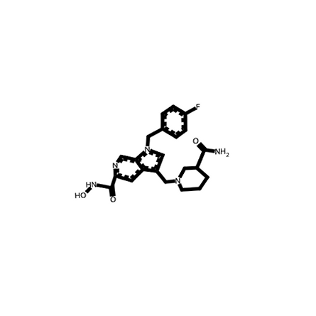 NC(=O)C1CCCN(Cc2cn(Cc3ccc(F)cc3)c3cnc(C(=O)NO)cc23)C1